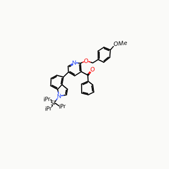 COc1ccc(COc2ncc(-c3cccc4c3ccn4[Si](C(C)C)(C(C)C)C(C)C)cc2C(=O)c2ccccc2)cc1